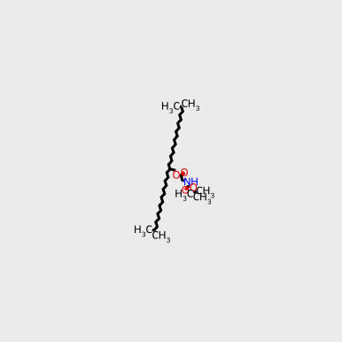 CC(C)CCCCCCCCCCCCCCC(CCCCCCCCCCCCCCC(C)C)COC(=O)CNC(=O)OC(C)(C)C